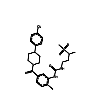 Cc1ccc(C(=O)N2CCC(c3ccc(C#N)cc3)CC2)cc1NC(=O)NCCN(C)S(C)(=O)=O